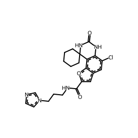 O=C1Nc2c(Cl)cc3cc(C(=O)NCCCn4ccnc4)oc3c2C2(CCCCC2)N1